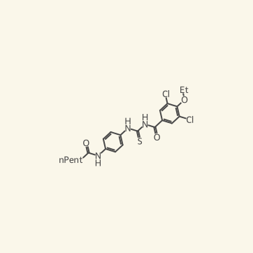 CCCCCC(=O)Nc1ccc(NC(=S)NC(=O)c2cc(Cl)c(OCC)c(Cl)c2)cc1